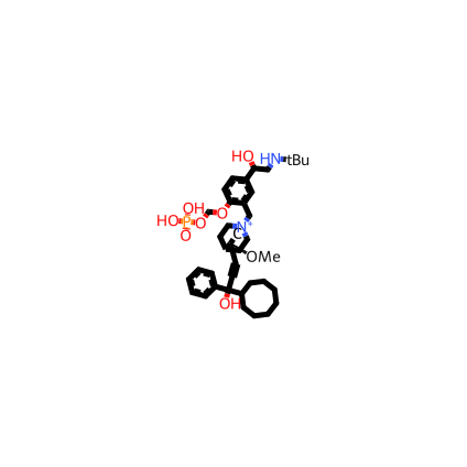 CO[C@]1(C#CC(O)(c2ccccc2)C2CCCCCCC2)C[N+]2(Cc3cc(C(O)CNC(C)(C)C)ccc3OCOP(=O)(O)O)CCC1CC2